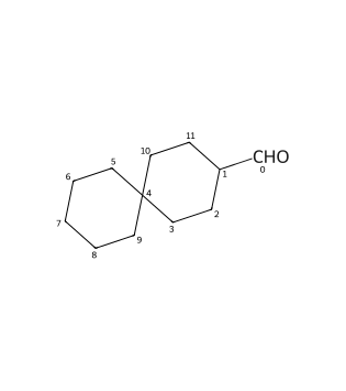 O=CC1CCC2(CCCCC2)CC1